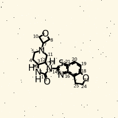 O=C1N[C@H]2CCN(C3COC3)C[C@H]2N1c1nc2c3c(ccc2s1)OCC3